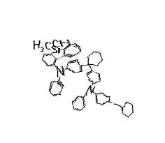 C[Si]1(C)c2ccccc2-c2c(N(c3ccccc3)c3ccc(C4(c5ccc(N(c6ccccc6)c6ccc(C7CCCCC7)cc6)cc5)CCCCC4)cc3)cccc21